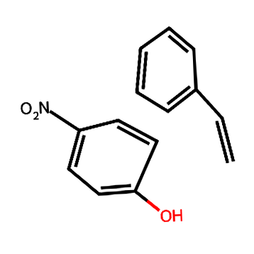 C=Cc1ccccc1.O=[N+]([O-])c1ccc(O)cc1